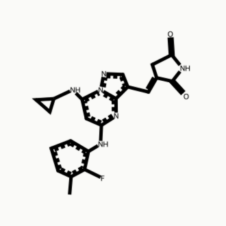 Cc1cccc(Nc2cc(NC3CC3)n3ncc(/C=C4\CC(=O)NC4=O)c3n2)c1F